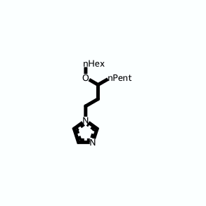 CCCCCCOC(CCCCC)CCn1ccnc1